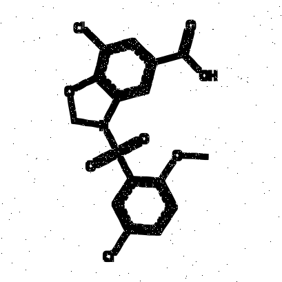 COc1ccc(Cl)cc1S(=O)(=O)N1COc2c(Cl)cc(C(=O)O)cc21